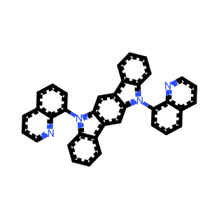 c1cnc2c(-n3c4ccccc4c4cc5c(cc43)c3ccccc3n5-c3cccc4cccnc34)cccc2c1